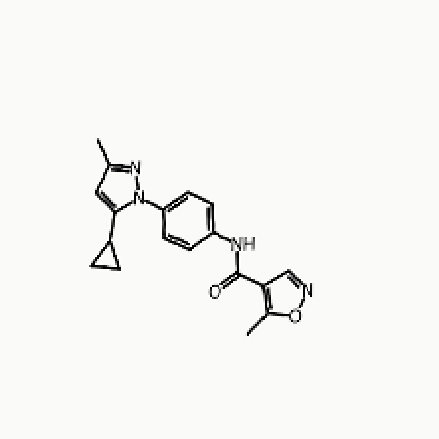 Cc1cc(C2CC2)n(-c2ccc(NC(=O)c3cnoc3C)cc2)n1